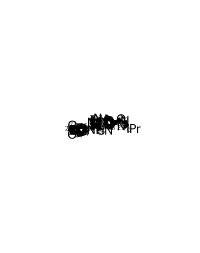 CC(C)c1noc(C2CCN(c3ncnc(Nc4ccc(S(C)(=O)=O)cc4)c3C#N)CC2)n1